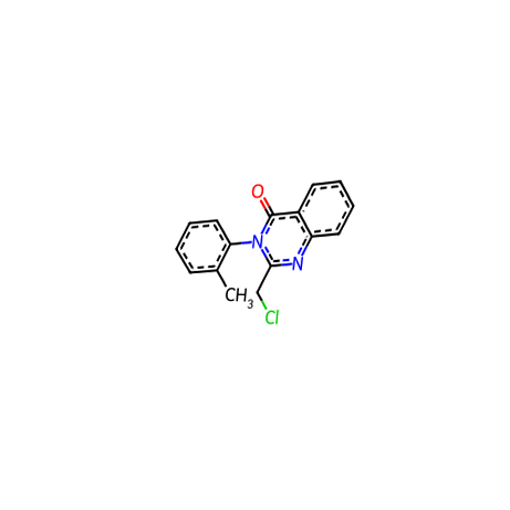 Cc1ccccc1-n1c(CCl)nc2ccccc2c1=O